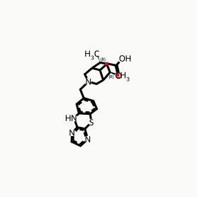 C[C@@H]1C[C@@H](C)C2CN(Cc3ccc4c(c3)Nc3nccnc3S4)CC1C2CC(=O)O